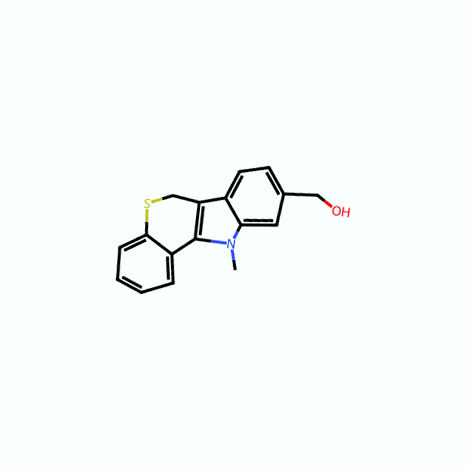 Cn1c2c(c3ccc(CO)cc31)CSc1ccccc1-2